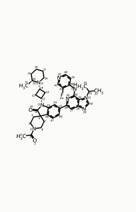 CC(=O)N1CCC2(CC1)C(=O)N([C@H]1C[C@@H](N3CCCC[C@@H]3C)C1)c1cc(-c3cc4ncn(C(C)C)c4c(Nc4ccncc4F)n3)ccc12